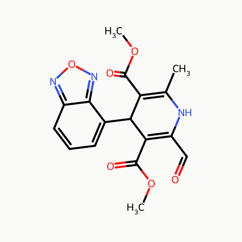 COC(=O)C1=C(C)NC(C=O)=C(C(=O)OC)C1c1cccc2nonc12